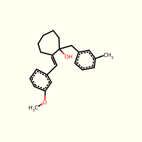 COc1cccc(C=C2CCCCCC2(O)Cc2cccc(C)c2)c1